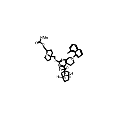 CNC(=O)OCC1CCC2(COc3nc4c(c(N5C[C@H]6CC[C@@H](C5)N6C(=O)OC(C)(C)C)n3)CCN(c3cccc5cccc(C)c35)C4)CCCN12